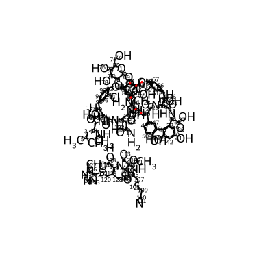 CN[C@H](CC(C)C)C(=O)N[C@H]1C(=O)N[C@@H](CC(N)=O)C(=O)N[C@H]2C(=O)N[C@H]3C(=O)N[C@H](C(=O)N[C@@H](C(=O)O)c4cc(O)cc(O)c4-c4cc3ccc4O)[C@H](O)c3ccc(c(Cl)c3)Oc3cc2cc(c3O[C@@H]2O[C@H](CO)[C@@H](O)[C@H](O)[C@H]2O[C@H]2C[C@](C)(N)C(O)[C@H](C)O2)Oc2ccc(cc2Cl)[C@H]1O.CO[C@@]1(NC(=O)CSCC#N)C(=O)N2C(C(=O)O)=C(CSc3nnnn3C)CS[C@@H]21